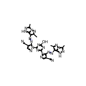 Cc1nn2c(C)n[nH]c2c1/N=N/c1c(C#N)cnn1-c1nc(O)nc(-n2ncc(C#N)c2/N=N/c2c(C)nn3c(C)n[nH]c23)n1